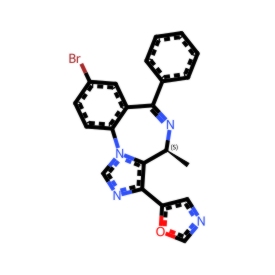 C[C@@H]1N=C(c2ccccc2)c2cc(Br)ccc2-n2cnc(-c3cnco3)c21